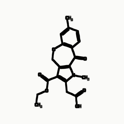 CCOC(=O)c1c2c(n(C)c1CC(=O)O)C(=O)c1ccc(C)cc1OC2